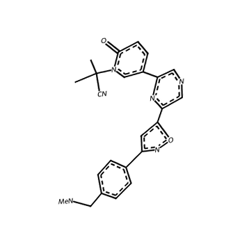 CNCc1ccc(-c2cc(-c3cncc(-c4ccc(=O)n(C(C)(C)C#N)c4)n3)on2)cc1